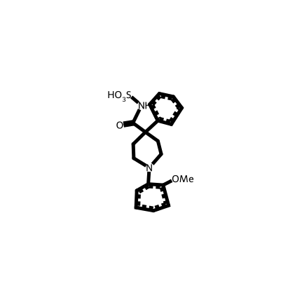 COc1ccccc1N1CCC(C(=O)NS(=O)(=O)O)(c2ccccc2)CC1